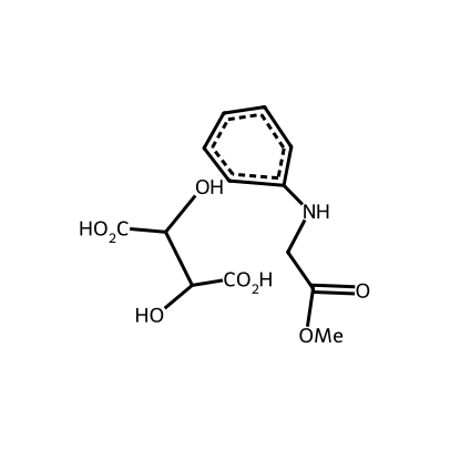 COC(=O)CNc1ccccc1.O=C(O)C(O)C(O)C(=O)O